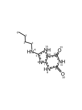 CCCCNc1nc2[nH]c(=O)[nH]c(=O)c2[nH]1